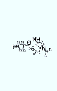 CC(CC12CC(=N)CC1N2C(C)C)SCC(=O)c1ccc(F)cc1